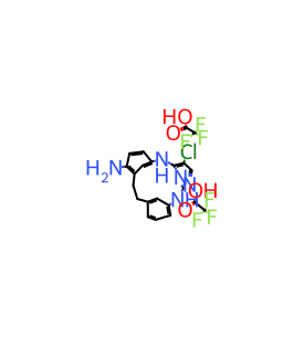 Nc1ccc2cc1CCc1cccc(c1)Nc1ncc(Cl)c(n1)N2.O=C(O)C(F)(F)F.O=C(O)C(F)(F)F